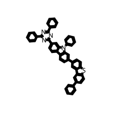 c1ccc(-c2ccc3sc4ccc(-c5ccc6c7ccc(-c8nc(-c9ccccc9)nc(-c9ccccc9)n8)cc7n(-c7ccccc7)c6c5)cc4c3c2)cc1